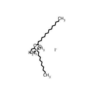 CCCCCCCCCCCCCC(=O)OC(CC)[N+](C)(C)CCCCCCCCCC.[I-]